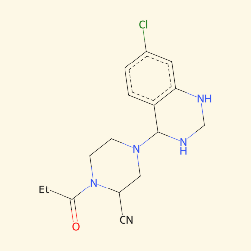 CCC(=O)N1CCN(C2NCNc3cc(Cl)ccc32)CC1C#N